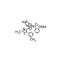 COc1ccccc1C(=O)NC[C@@H]1C2C[C@H]2CN1C(=O)c1nc(C)sc1-c1cccc(C)c1